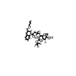 C=CCOC[C@@H]1Cc2ccccc2N(C(=O)CC(C)(C)C[C@H](NC(=O)OC(C)(C)C)[C@@H](O)C[C@@H](C)C(=O)O)C1